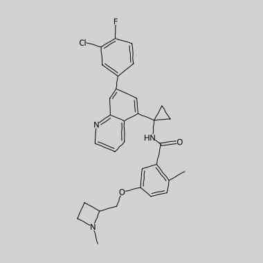 Cc1ccc(OCC2CCN2C)cc1C(=O)NC1(c2cc(-c3ccc(F)c(Cl)c3)cc3ncccc23)CC1